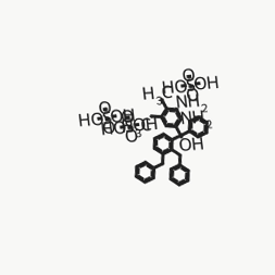 CCc1cc(C(O)(c2ccccc2)c2cccc(Cc3ccccc3)c2Cc2ccccc2)c(N)c(N)c1CC.O=S(=O)(O)O.O=S(=O)(O)O.O=S(=O)(O)O